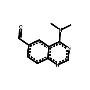 CN(C)c1ncnc2ccc(C=O)cc12